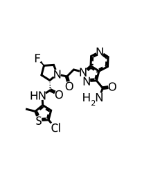 Cc1sc(Cl)cc1NC(=O)[C@@H]1C[C@@H](F)CN1C(=O)Cn1nc(C(N)=O)c2ccncc21